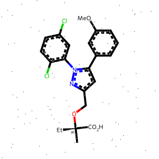 CC[C@@](C)(OCc1cc(-c2cccc(OC)c2)n(-c2cc(Cl)ccc2Cl)n1)C(=O)O